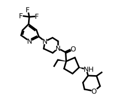 CC[C@]1(C(=O)N2CCN(c3cc(C(F)(F)F)ccn3)CC2)CC[C@H](NC2CCOCC2C)C1